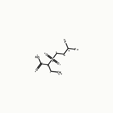 CCC(C(=O)O)S(=O)(=O)CCC(F)F